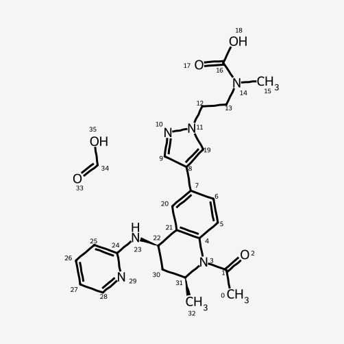 CC(=O)N1c2ccc(-c3cnn(CCN(C)C(=O)O)c3)cc2[C@H](Nc2ccccn2)C[C@@H]1C.O=CO